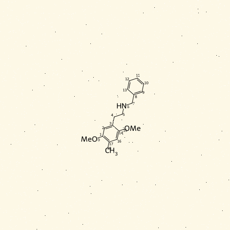 COc1cc(CCNCc2ccccc2)c(OC)cc1C